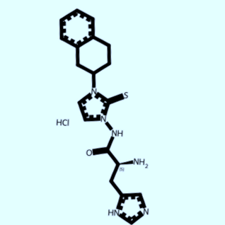 Cl.N[C@@H](Cc1cnc[nH]1)C(=O)Nn1ccn(C2CCc3ccccc3C2)c1=S